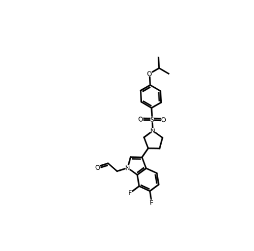 CC(C)Oc1ccc(S(=O)(=O)N2CCC(c3cn(CC=O)c4c(F)c(F)ccc34)C2)cc1